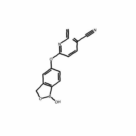 C=C/N=C(\C=C/C(=C)C#N)Oc1ccc2c(c1)COB2O